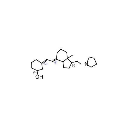 CC12CCC/C(=C\C=C3\CCC[C@H](O)C3)C1CC[C@@H]2CCN1CCCC1